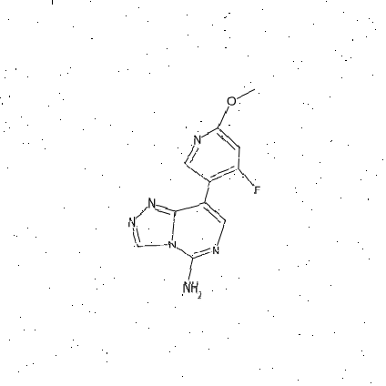 COc1cc(F)c(-c2cnc(N)n3cnnc23)cn1